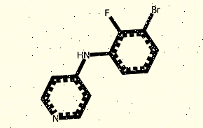 Fc1c(Br)cccc1Nc1ccncc1